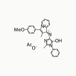 CC(=O)[O-].COc1ccc(C2=C(C)/C(=N\c3nc(C)n(-c4ccccc4)c3O)c3cccc[n+]32)cc1